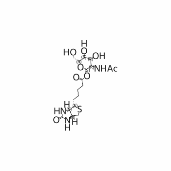 CC(=O)N[C@H]1[C@H](OC(=O)CCCC[C@@H]2SC[C@@H]3NC(=O)N[C@@H]32)O[C@H](CO)[C@@H](O)[C@@H]1O